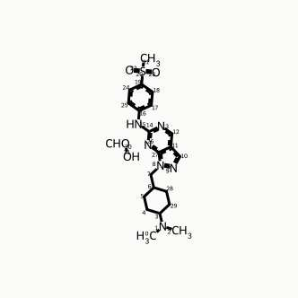 CN(C)C1CCC(Cn2ncc3cnc(Nc4ccc(S(C)(=O)=O)cc4)nc32)CC1.O=CO